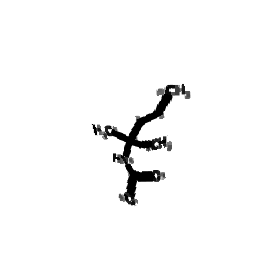 CCCC(C)(C)NC([O])=O